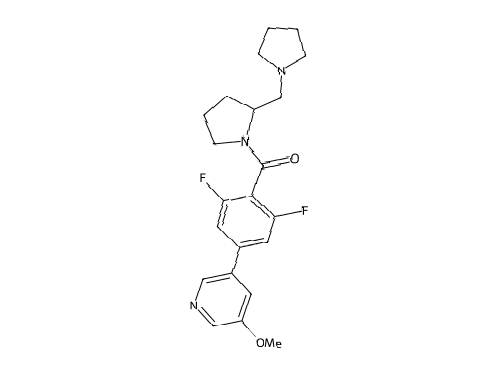 COc1cncc(-c2cc(F)c(C(=O)N3CCCC3CN3CCCC3)c(F)c2)c1